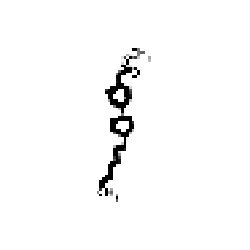 CCCCCCC[C@H]1CC[C@H](c2ccc(CC(=O)OC)cc2)CC1